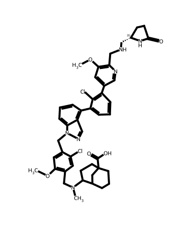 COc1cc(Cn2ncc3c(-c4cccc(-c5cnc(CNC[C@@H]6CCC(=O)N6)c(OC)c5)c4Cl)cccc32)c(Cl)cc1CN(C)C1CCC2(C(=O)O)CCCC1C2